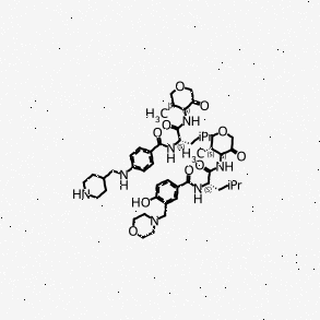 CC(C)C[C@H](NC(=O)c1ccc(NCC2CCNCC2)cc1)C(=O)N[C@@H]1C(=O)COC[C@H]1C.CC(C)C[C@H](NC(=O)c1ccc(O)c(CN2CCOCC2)c1)C(=O)N[C@@H]1C(=O)COC[C@H]1C